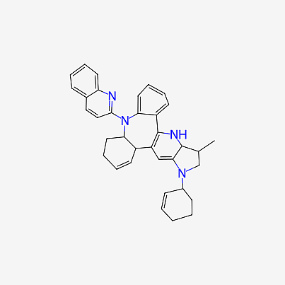 CC1CN(C2C=CCCC2)C2=CC3=C(NC21)c1ccccc1N(c1ccc2ccccc2n1)C1CCC=CC31